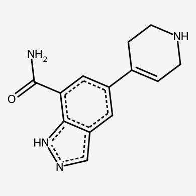 NC(=O)c1cc(C2=CCNCC2)cc2cn[nH]c12